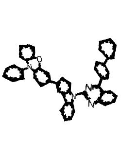 c1ccc(-c2ccc(-c3nc(-n4c5ccccc5c5cc(-c6ccc7c(c6)Oc6ccccc6N7c6ccccc6)ccc54)nc4ccccc34)cc2)cc1